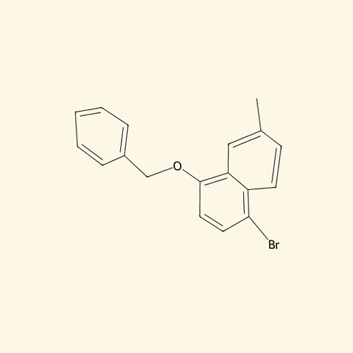 Cc1ccc2c(Br)ccc(OCc3ccccc3)c2c1